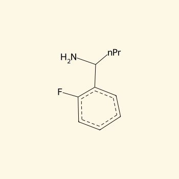 CCCC(N)c1ccccc1F